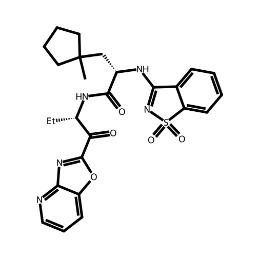 CC[C@H](NC(=O)[C@H](CC1(C)CCCC1)NC1=NS(=O)(=O)c2ccccc21)C(=O)c1nc2ncccc2o1